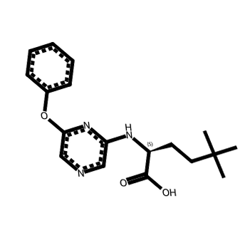 CC(C)(C)CC[C@H](Nc1cncc(Oc2ccccc2)n1)C(=O)O